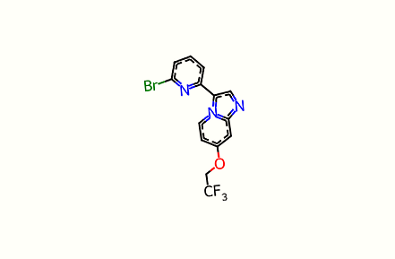 FC(F)(F)COc1ccn2c(-c3cccc(Br)n3)cnc2c1